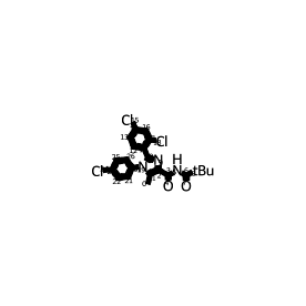 Cc1c(C(=O)NC(=O)C(C)(C)C)nc(-c2ccc(Cl)cc2Cl)n1-c1ccc(Cl)cc1